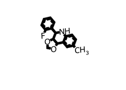 Cc1ccc2c(c1)C1OCOC1C(c1ccccc1F)N2